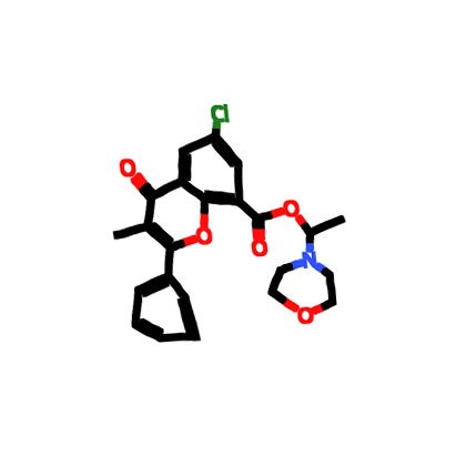 Cc1c(-c2ccccc2)oc2c(C(=O)OC(C)N3CCOCC3)cc(Cl)cc2c1=O